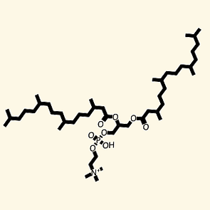 CC(C)CCCC(C)CCCC(C)CCCC(C)CC(=O)OCC(COP(=O)(O)OCC[N+](C)(C)C)OC(=O)CC(C)CCCC(C)CCCC(C)CCCC(C)C